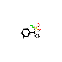 N#CC(c1ccccc1)S(=O)(=O)Cl